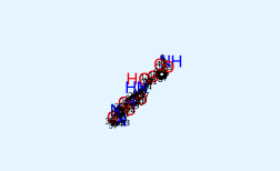 CNS(=O)(=O)c1cccc(OC[C@@H](O)CNC2COC3(CCN(S(=O)(=O)c4cnc5c(c4)N(C)CC(C)(C)O5)CC3)C2)c1